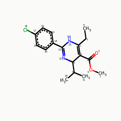 CCC1=C(C(=O)OC)C(C(C)C)N=C(c2ccc(Cl)cc2)N1